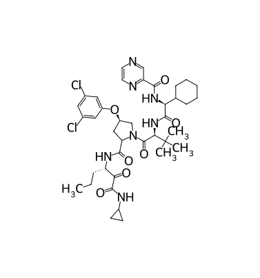 CCC[C@H](NC(=O)C1C[C@@H](Oc2cc(Cl)cc(Cl)c2)CN1C(=O)[C@@H](NC(=O)[C@@H](NC(=O)c1cnccn1)C1CCCCC1)C(C)(C)C)C(=O)C(=O)NC1CC1